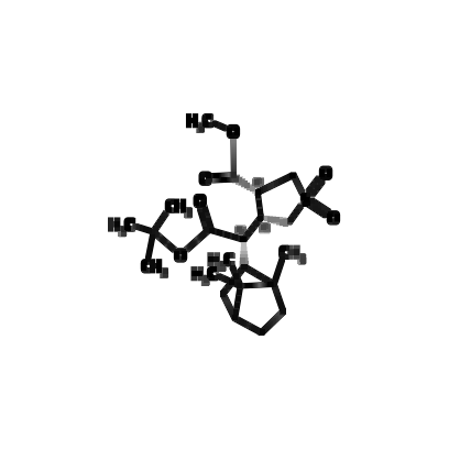 COC(=O)[C@@H]1CS(=O)(=O)C[C@@H]1[C@@H](C(=O)OC(C)(C)C)C1CC2CCC1(C)C2(C)C